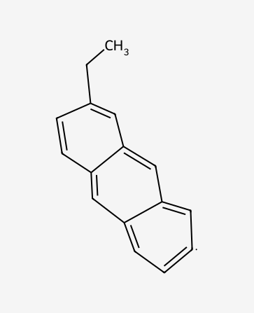 CCc1ccc2cc3cc[c]cc3cc2c1